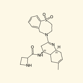 CC1=CC[C@@H]2N=C(N3CCS(=O)(=O)c4ccccc4C3)C[C@H](NC(=O)C3CCN3)C2C1